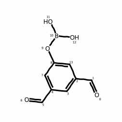 O=Cc1cc(C=O)cc(OB(O)O)c1